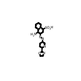 Nc1c(N=Nc2ccc(-c3ncco3)nc2)cc(S(=O)(=O)O)c2ccccc12